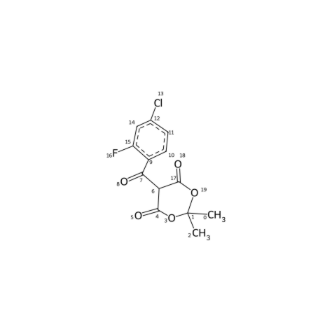 CC1(C)OC(=O)C(C(=O)c2ccc(Cl)cc2F)C(=O)O1